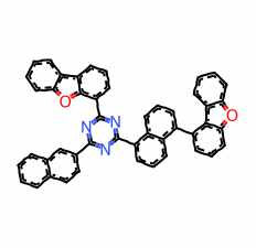 c1ccc2cc(-c3nc(-c4cccc5c(-c6cccc7oc8ccccc8c67)cccc45)nc(-c4cccc5c4oc4ccccc45)n3)ccc2c1